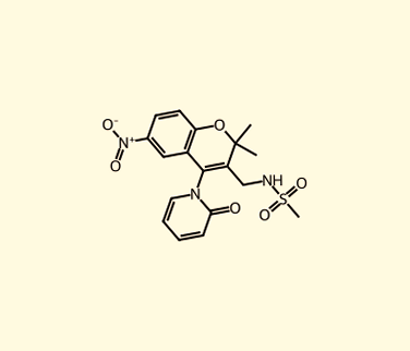 CC1(C)Oc2ccc([N+](=O)[O-])cc2C(n2ccccc2=O)=C1CNS(C)(=O)=O